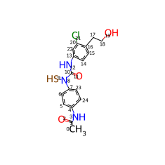 CC(=O)Nc1ccc(N(S)C(=O)Nc2ccc(CCO)c(Cl)c2)cc1